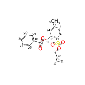 Cc1ccc(S(=O)(=O)OCC2CC2)c(COC(=O)c2ccccc2)c1